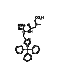 COC(=O)[C@H](Cc1cn(C(c2ccccc2)(c2ccccc2)c2ccccc2)cn1)NC(=O)CN(C)CC(=O)O